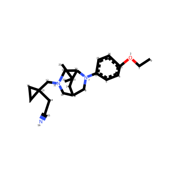 CCOc1ccc(N2CC3CN(CC4(CC#N)CC4)CC2C(C)(C)C3)cc1